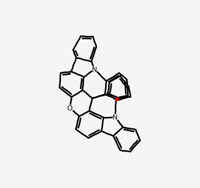 c1ccc2c(c1)-n1c3ccccc3c3ccc4c(c31)C21c2ccccc2-n2c3ccccc3c3ccc(c1c32)O4